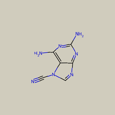 N#Cn1cnc2nc(N)nc(N)c21